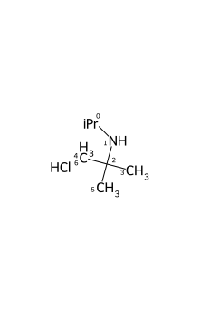 CC(C)NC(C)(C)C.Cl